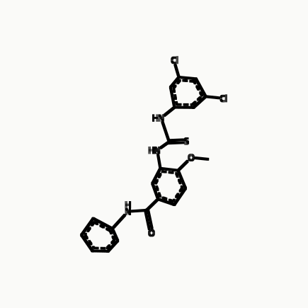 COc1ccc(C(=O)Nc2ccccc2)cc1NC(=S)Nc1cc(Cl)cc(Cl)c1